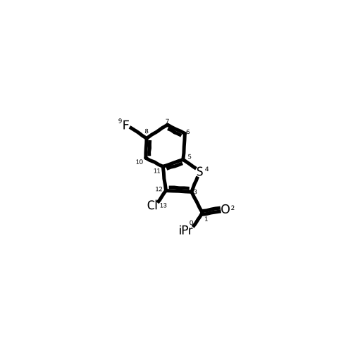 CC(C)C(=O)c1sc2ccc(F)cc2c1Cl